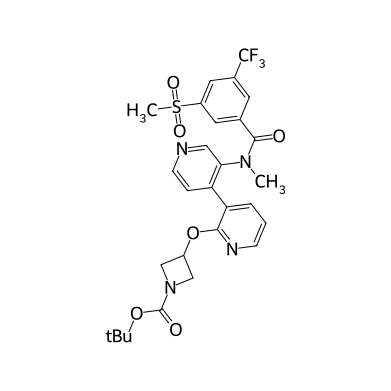 CN(C(=O)c1cc(C(F)(F)F)cc(S(C)(=O)=O)c1)c1cnccc1-c1cccnc1OC1CN(C(=O)OC(C)(C)C)C1